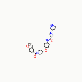 O=C(Nc1ccc(OC2CCN(C(=O)c3ccc(OC(F)(F)F)cc3)CC2)cc1)C1CN(c2ccnnc2)C1